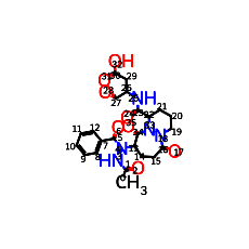 CC(=O)NN(C(=O)c1ccccc1)C1CCC(=O)N2CCCC(C(=O)NC(C=O)CC(=O)O)N2C1=O